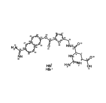 Br.Br.N=C(N)NC(CCC(=O)O)C(=O)NCc1ccc(C(=O)Oc2ccc3cc(C(=N)N)ccc3c2)o1